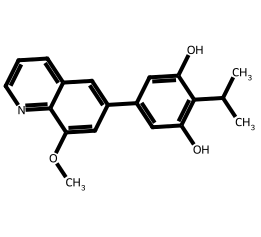 COc1cc(-c2cc(O)c(C(C)C)c(O)c2)cc2cccnc12